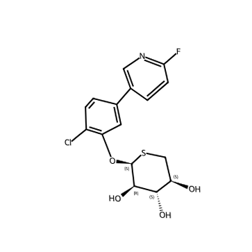 O[C@@H]1[C@@H](O)[C@@H](Oc2cc(-c3ccc(F)nc3)ccc2Cl)SC[C@H]1O